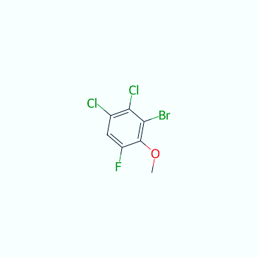 COc1c(F)cc(Cl)c(Cl)c1Br